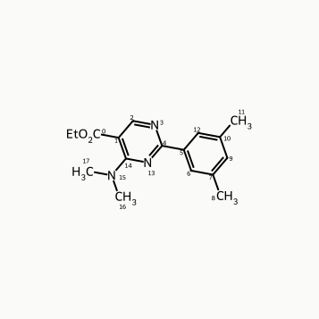 CCOC(=O)c1cnc(-c2cc(C)cc(C)c2)nc1N(C)C